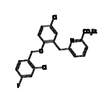 CCOC(=O)c1cccc(Cc2cc(Cl)ccc2OCc2ccc(F)cc2Cl)n1